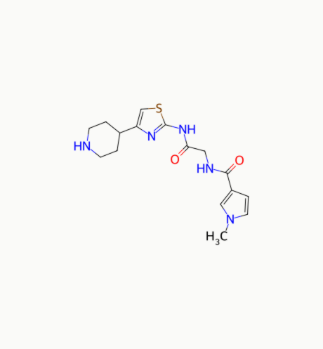 Cn1ccc(C(=O)NCC(=O)Nc2nc(C3CCNCC3)cs2)c1